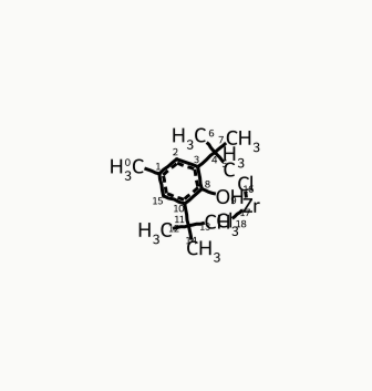 Cc1cc(C(C)(C)C)c(O)c(C(C)(C)C)c1.[Cl][Zr][Cl]